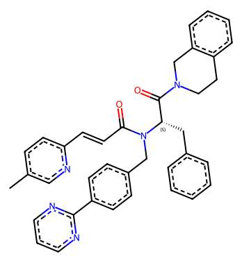 Cc1ccc(C=CC(=O)N(Cc2ccc(-c3ncccn3)cc2)[C@@H](Cc2ccccc2)C(=O)N2CCc3ccccc3C2)nc1